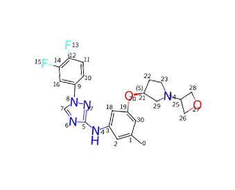 Cc1cc(Nc2ncn(-c3ccc(F)c(F)c3)n2)cc(O[C@H]2CCN(C3COC3)C2)c1